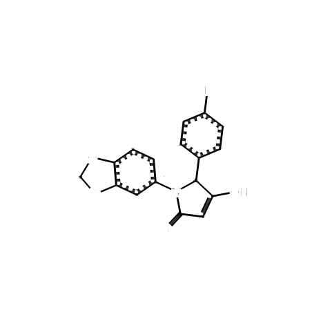 O=C1[C]=C(O)C(c2ccc(F)cc2)N1c1ccc2c(c1)OCO2